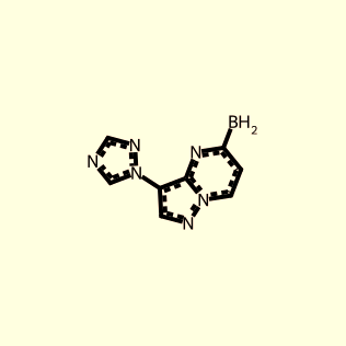 Bc1ccn2ncc(-n3cncn3)c2n1